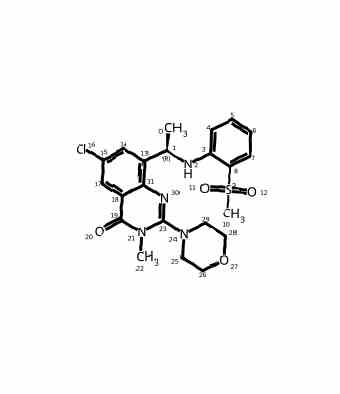 C[C@@H](Nc1ccccc1S(C)(=O)=O)c1cc(Cl)cc2c(=O)n(C)c(N3CCOCC3)nc12